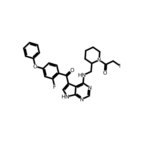 O=C(c1ccc(Oc2ccccc2)cc1F)c1c[nH]c2ncnc(NCC3CCCCN3C(=O)CI)c12